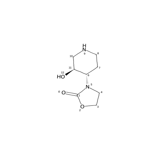 O=C1OCCN1[C@H]1CCNC[C@@H]1O